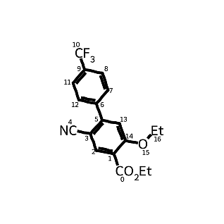 CCOC(=O)c1cc(C#N)c(-c2ccc(C(F)(F)F)cc2)cc1OCC